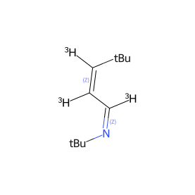 [3H]C(=N/C(C)(C)C)/C([3H])=C(/[3H])C(C)(C)C